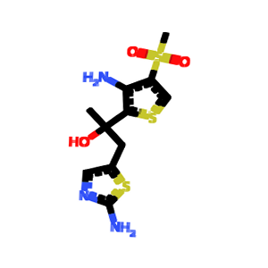 CC(O)(Cc1cnc(N)s1)c1scc(S(C)(=O)=O)c1N